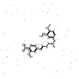 COc1ccc(CN(C)CC/C=C/c2ccc([N+](=O)[O-])c(OC)c2)cc1OC